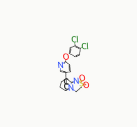 O=S1(=O)CCN2C(=N1)C1(c3ccc(Oc4ccc(Cl)c(Cl)c4)nc3)CCC2CC1